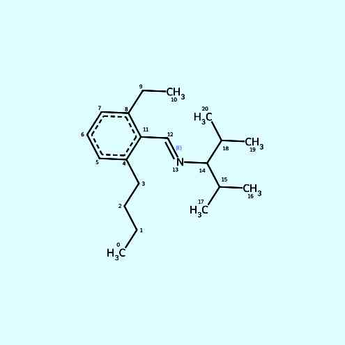 CCCCc1cccc(CC)c1/C=N/C(C(C)C)C(C)C